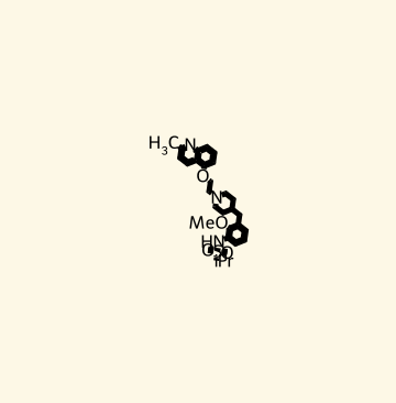 COc1c(CC2CCN(CCOc3cccc4nc(C)ccc34)CC2)cccc1NS(=O)(=O)C(C)C